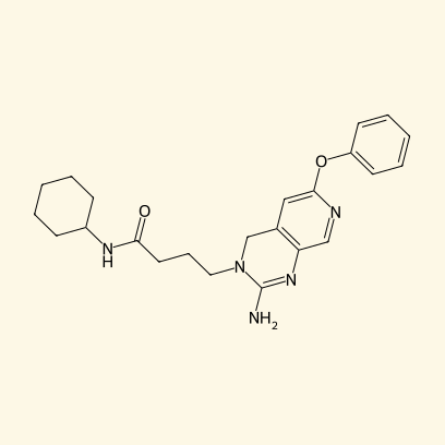 NC1=Nc2cnc(Oc3ccccc3)cc2CN1CCCC(=O)NC1CCCCC1